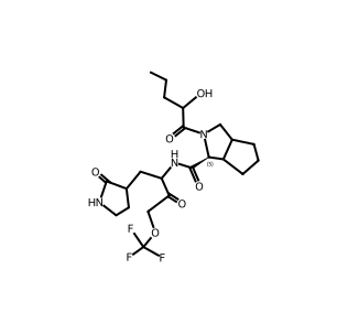 CCCC(O)C(=O)N1CC2CCCC2[C@H]1C(=O)NC(CC1CCNC1=O)C(=O)COC(F)(F)F